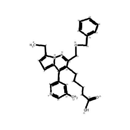 CCc1ccc2c(-c3cncc(C)c3)c(CCCCC(=O)O)c(COCc3ccccc3)nn12